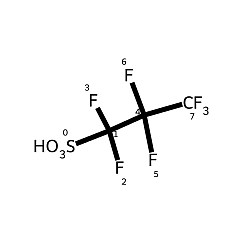 O=S(=O)(O)C(F)(F)C(F)(F)C(F)(F)F